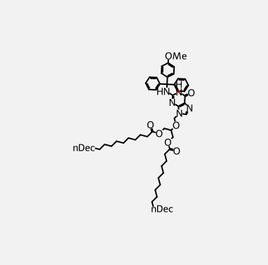 CCCCCCCCCCCCCCCCCCCC(=O)OCC(COC(=O)CCCCCCCCCCCCCCCCCCC)OCn1cnc2c(=O)[nH]c(NC(c3ccccc3)(c3ccccc3)c3ccc(OC)cc3)nc21